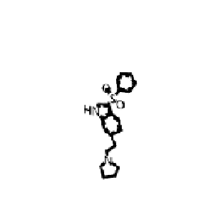 O=S(=O)(c1ccccc1)c1c[nH]c2cc(CCN3CCCC3)ccc12